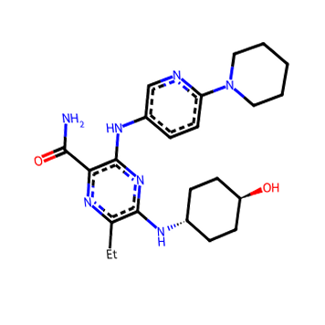 CCc1nc(C(N)=O)c(Nc2ccc(N3CCCCC3)nc2)nc1N[C@H]1CC[C@H](O)CC1